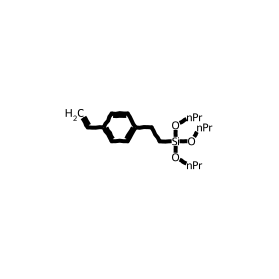 C=Cc1ccc(CC[Si](OCCC)(OCCC)OCCC)cc1